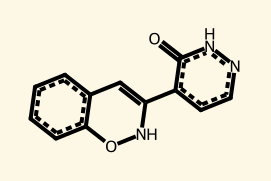 O=c1[nH]nccc1C1=Cc2ccccc2ON1